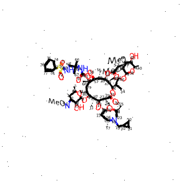 CON=C1C[C@@H](C)O[C@@H](O[C@@H]2[C@@H](C)[C@H](O[C@H]3C[C@@H](C)N(CC4CC4)C[C@H](C)O3)[C@@H](C)C(=O)O[C@H](C(C)CO[C@@H]3O[C@H](C)[C@@H](O)[C@@H](OC)[C@H]3OC)[C@H](C)[C@@H](OC(=O)CC(C)C)[C@@H](C)C(=O)[C@@](C)(OC(=O)NC(C)(C)CNS(=O)(=O)c3ccccc3)C[C@@H]2C)[C@@H]1O